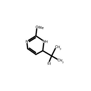 CCC(C)(C)C1C=CN=C(OC)N1